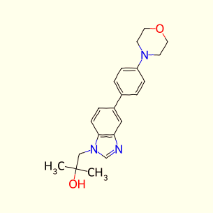 CC(C)(O)Cn1cnc2cc(-c3ccc(N4CCOCC4)cc3)ccc21